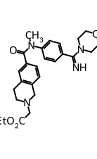 CCOC(=O)CN1CCc2cc(C(=O)N(C)c3ccc(C(=N)N4CCOCC4)cc3)ccc2C1